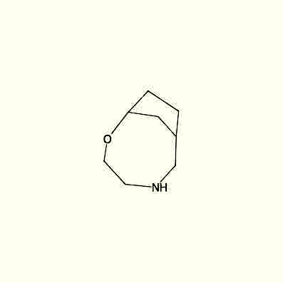 C1COC2CCC(CN1)C2